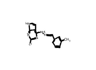 Cc1cccc(/C=N/Nc2nc(Cl)nc3[nH]ccc23)c1